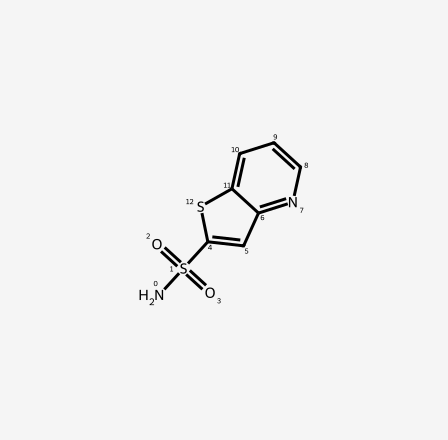 NS(=O)(=O)c1cc2ncccc2s1